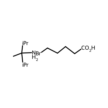 CC(C)C(C)(N)C(C)C.O=C(O)CCCCBr